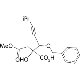 COC(=O)CC(O)(C(=O)O)C(C#CC(C)C)OCc1ccccc1